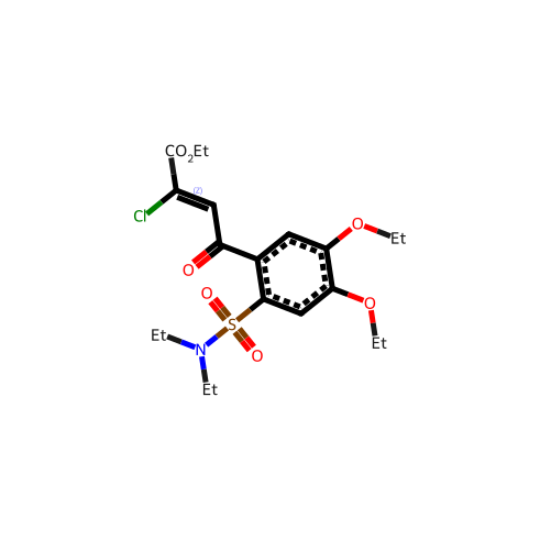 CCOC(=O)/C(Cl)=C/C(=O)c1cc(OCC)c(OCC)cc1S(=O)(=O)N(CC)CC